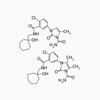 Cc1c(C)n(-c2ccc(Cl)c(C(=O)NCC3(O)CCCCCC3)c2)c(=O)n1C(N)=O.Cc1cn(-c2ccc(Cl)c(C(=O)NCC3(O)CCCCCC3)c2)c(=O)n1C(N)=O